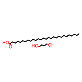 CCCCCCCCCCCCCCCCCCCCCCCCCCCC(=O)O.OCCCCO